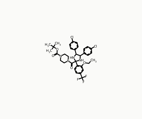 CCOc1cc(C(F)(F)F)ccc1C1(C(=O)N2CCN(C(=O)OC(C)(C)C)CC2)NC(c2ccc(Cl)cc2)C(c2ccc(Cl)cc2)N1